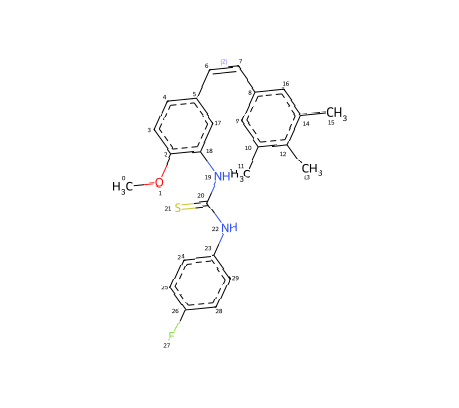 COc1ccc(/C=C\c2cc(C)c(C)c(C)c2)cc1NC(=S)Nc1ccc(F)cc1